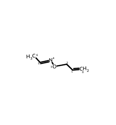 C=CCON=CC